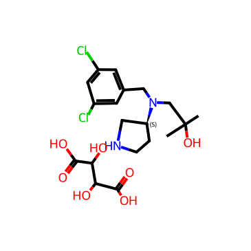 CC(C)(O)CN(Cc1cc(Cl)cc(Cl)c1)[C@H]1CCNC1.O=C(O)C(O)C(O)C(=O)O